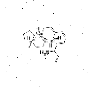 C=CC(N)C1=CC=CC2=CC[C@@H]3[C@H](CC[C@]4(C)CCC[C@@H]34)[C@H]21